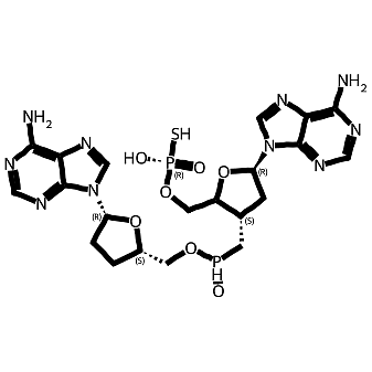 Nc1ncnc2c1ncn2[C@H]1C[C@H](C[PH](=O)OC[C@@H]2CC[C@H](n3cnc4c(N)ncnc43)O2)C(CO[P@@](=O)(O)S)O1